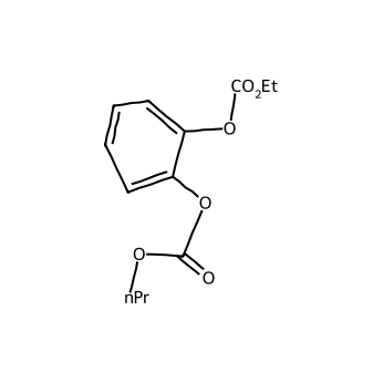 CCCOC(=O)Oc1ccccc1OC(=O)OCC